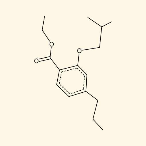 CCCc1ccc(C(=O)OCC)c(OCC(C)C)c1